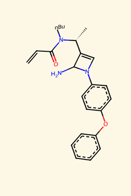 C=CC(=O)N(CCCC)[C@H](C)C1=CN(c2ccc(Oc3ccccc3)cc2)C1N